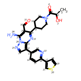 C[C@@H](O)C(=O)N1CCC(c2nc3c(-c4ccc(-c5ccsc5)nc4)cnn3c(N)c2C=O)CC1